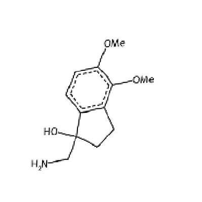 COc1ccc2c(c1OC)CCC2(O)CN